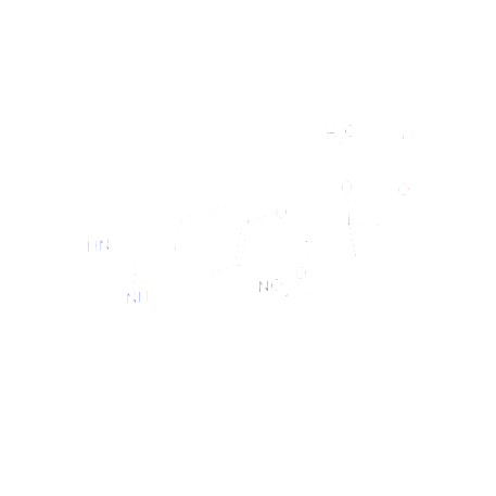 CS(=O)(=O)OC1(C(=O)Oc2ccc(C(=N)N)cc2[N+](=O)[O-])CC1